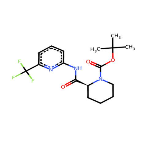 CC(C)(C)OC(=O)N1CCCC[C@H]1C(=O)Nc1cccc(C(F)(F)F)n1